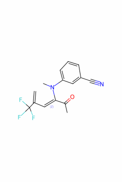 C=C(/C=C(/C(C)=O)N(C)c1cccc(C#N)c1)C(F)(F)F